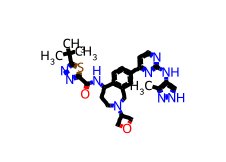 Cc1n[nH]cc1Nc1nccc(-c2ccc3c(c2)CN(C2COC2)CCC3NC(=O)c2nnc(C(C)(C)C)s2)n1